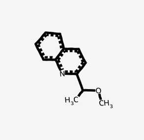 COC(C)c1ccc2ccccc2n1